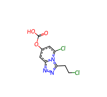 O=C(O)Oc1cc(Cl)n2c(CCCl)nnc2c1